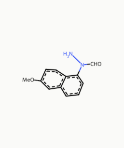 COc1ccc2c(N(N)C=O)cccc2c1